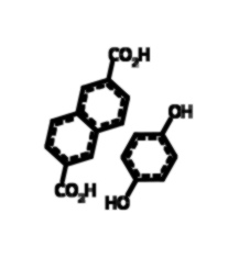 O=C(O)c1ccc2cc(C(=O)O)ccc2c1.Oc1ccc(O)cc1